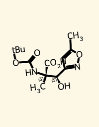 Cc1cc([C@@H](O)[C@](C)(NC(=O)OC(C)(C)C)C(=O)O)no1